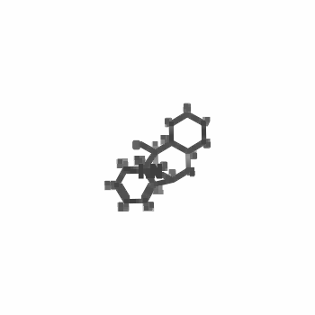 CC12NC(CC3CCCCC31)c1ccccc12